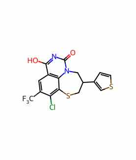 O=c1nc(O)c2cc(C(F)(F)F)c(Cl)c3c2n1CC(c1ccsc1)CS3